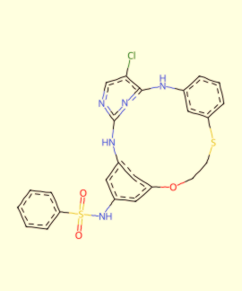 O=S(=O)(Nc1cc2cc(c1)OCCSc1cccc(c1)Nc1nc(ncc1Cl)N2)c1ccccc1